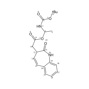 CC(NC(=O)OC(C)(C)C)OC(=O)CC1C=Cc2ccccc2NC1=O